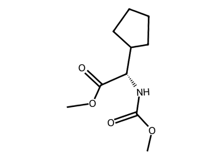 COC(=O)N[C@H](C(=O)OC)C1CCCC1